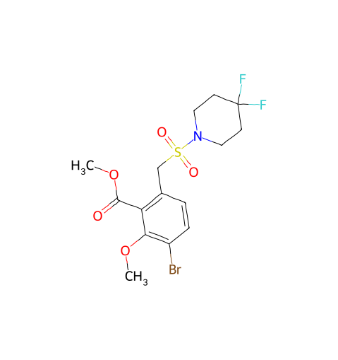 COC(=O)c1c(CS(=O)(=O)N2CCC(F)(F)CC2)ccc(Br)c1OC